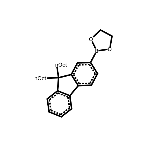 CCCCCCCCC1(CCCCCCCC)c2ccccc2-c2ccc(B3OCCO3)cc21